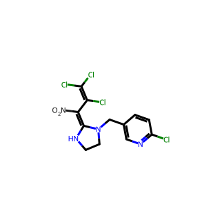 O=[N+]([O-])C(C(Cl)=C(Cl)Cl)=C1NCCN1Cc1ccc(Cl)nc1